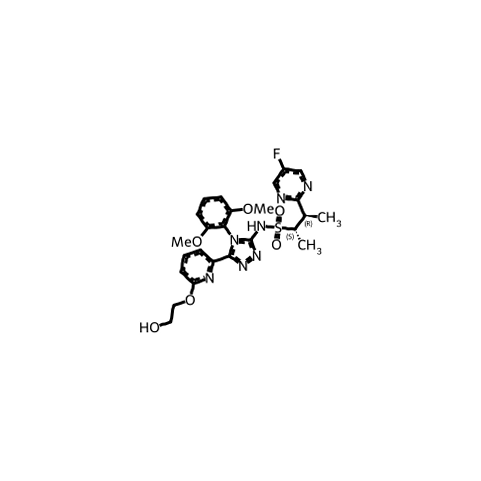 COc1cccc(OC)c1-n1c(NS(=O)(=O)[C@@H](C)[C@H](C)c2ncc(F)cn2)nnc1-c1cccc(OCCO)n1